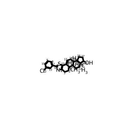 C[C@]12CCc3nc(-c4cccc(Cl)c4)sc3C1=CC[C@@H]1[C@@H]2CC[C@]2(C)C(O)CC[C@@H]12